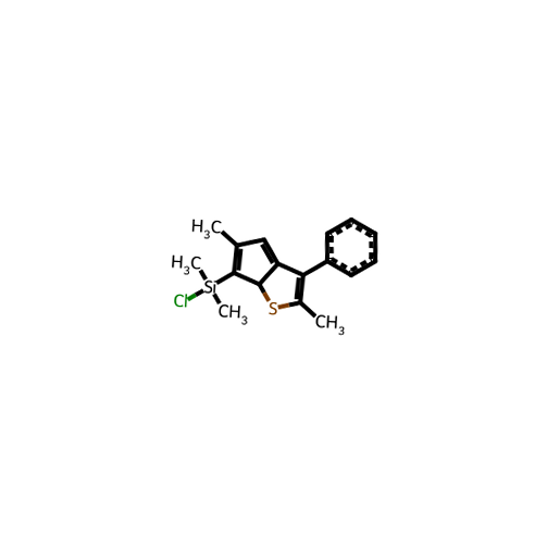 CC1=C([Si](C)(C)Cl)C2SC(C)=C(c3ccccc3)C2=C1